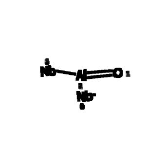 [Nb].[O]=[Al][Nb]